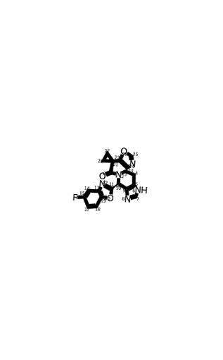 O=C(N1CCc2[nH]cnc2[C@H]1c1nc2cc(F)ccc2o1)C1(c2cnco2)CC1